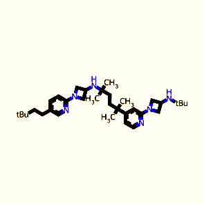 CC(C)(C)CCc1ccc(N2CC(NC(C)(C)CCC(C)(C)c3ccnc(N4CC(NC(C)(C)C)C4)c3)C2)nc1